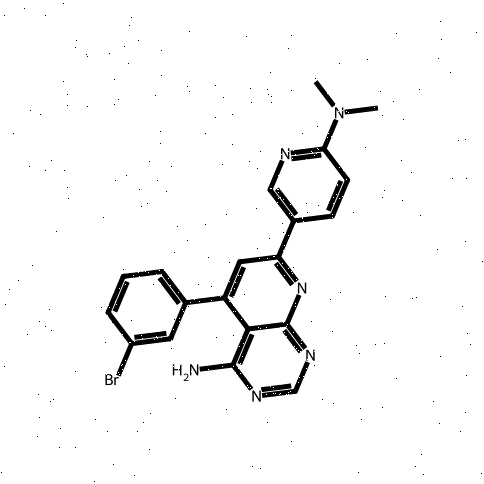 CN(C)c1ccc(-c2cc(-c3cccc(Br)c3)c3c(N)ncnc3n2)cn1